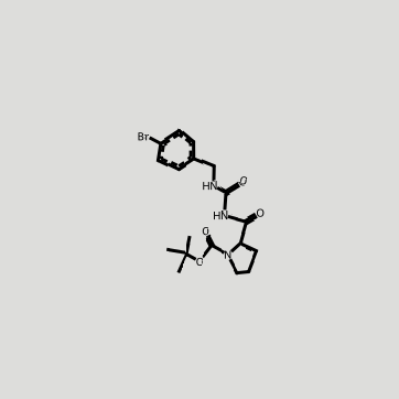 CC(C)(C)OC(=O)N1CCCC1C(=O)NC(=O)NCc1ccc(Br)cc1